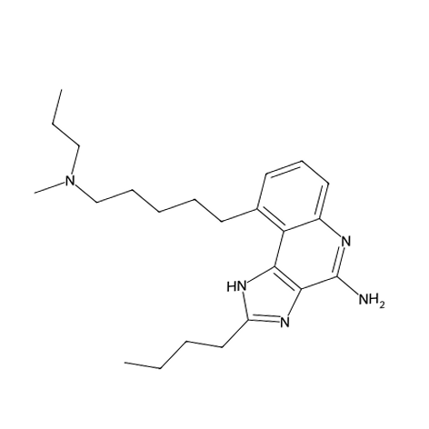 CCCCc1nc2c(N)nc3cccc(CCCCCN(C)CCC)c3c2[nH]1